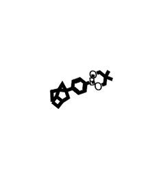 CC1(C)COB(c2ccc(C34CC5CC6CC3(C4)C56)cc2)OC1